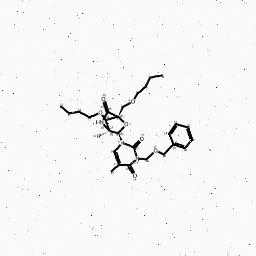 CCCCOC[C@]12O[C@@H](n3cc(C)c(=O)n(COCc4ccccc4)c3=O)[C@@H](NC1=O)C2OCCCC